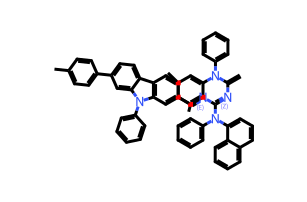 C=C(/N=C(\N=C(/C)c1ccc2c3ccc(-c4ccc(C)cc4)cc3n(-c3ccccc3)c2c1)N(c1ccccc1)c1cccc2ccccc12)N(C1=CC(C)CC=C1)c1ccccc1